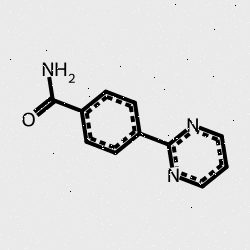 NC(=O)c1ccc(-c2ncccn2)cc1